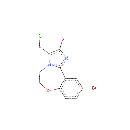 ClCc1c(I)nc2n1CCOc1ccc(Br)cc1-2